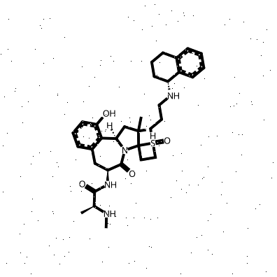 CN[C@@H](C)C(=O)N[C@H]1Cc2cccc(O)c2[C@H]2CC(C)(C)C3(CC[SH]3(=O)CCCN[C@@H]3CCCc4ccccc43)N2C1=O